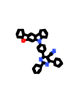 N#Cc1c(-c2ccccc2)nc(-c2ccccc2)nc1-c1ccc(-n2c3ccccc3c3cc4c(cc32)oc2ccccc24)cc1